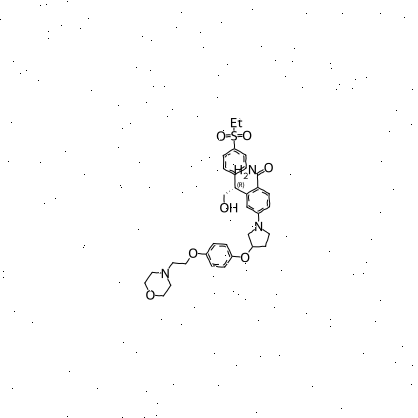 CCS(=O)(=O)c1ccc([C@@H](CO)c2cc(N3CCC(Oc4ccc(OCCN5CCOCC5)cc4)C3)ccc2C(N)=O)cc1